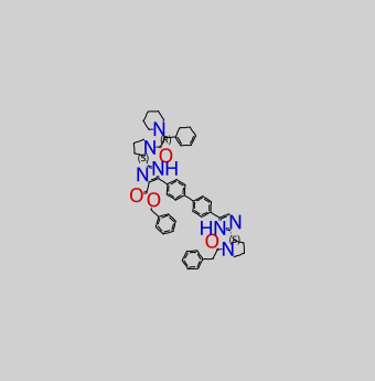 O=C(OCc1ccccc1)c1nc([C@@H]2CCCN2C(=O)[C@@H](C2=CC=CCC2)N2CCCCC2)[nH]c1-c1ccc(-c2ccc(-c3cnc([C@@H]4CCCN4C(=O)Cc4ccccc4)[nH]3)cc2)cc1